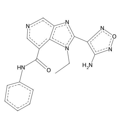 CCn1c(-c2nonc2N)nc2cncc(C(=O)Nc3ccccc3)c21